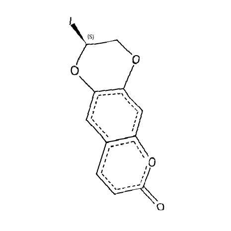 O=c1ccc2cc3c(cc2o1)OC[C@H](I)O3